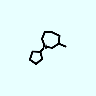 CC1CCCCN(C2CCCC2)C1